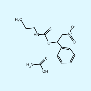 CCCNC(=S)OC(C[N+](=O)[O-])c1ccccc1.NC(O)=S